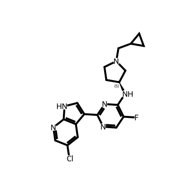 Fc1cnc(-c2c[nH]c3ncc(Cl)cc23)nc1N[C@H]1CCN(CC2CC2)C1